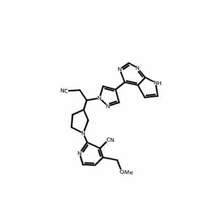 COCc1ccnc(N2CCC(C(CC#N)n3cc(-c4ncnc5[nH]ccc45)cn3)C2)c1C#N